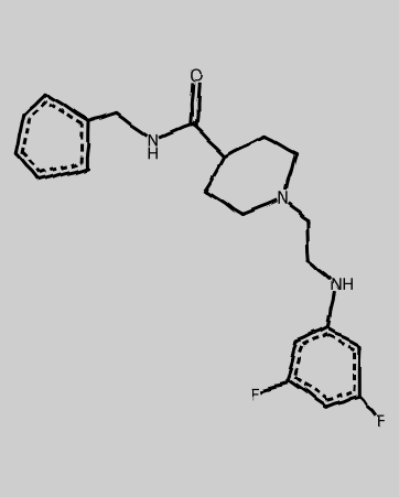 O=C(NCc1ccccc1)C1CCN(CCNc2cc(F)cc(F)c2)CC1